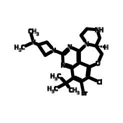 CN(C)C1CN(c2nc3c4c(c(Cl)c(Br)c(C(C)(C)C)c4n2)OC[C@@H]2CNCCN32)C1